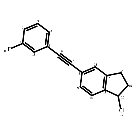 Fc1cccc(C#Cc2ccc3c(c2)CCC3Cl)c1